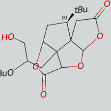 CC(C)COC(CO)CC12C3C[C@@H](C(C)(C)C)C14CC(=O)OC4OC2C(=O)O3